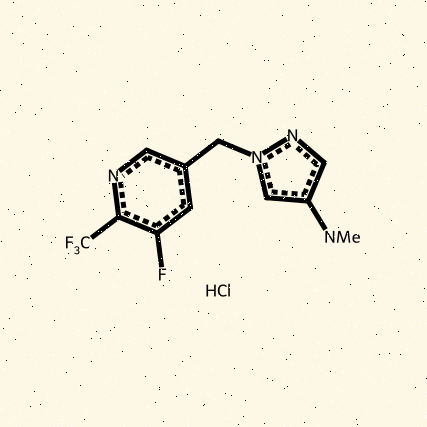 CNc1cnn(Cc2cnc(C(F)(F)F)c(F)c2)c1.Cl